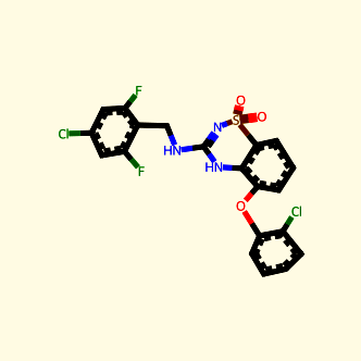 O=S1(=O)N=C(NCc2c(F)cc(Cl)cc2F)Nc2c(Oc3ccccc3Cl)cccc21